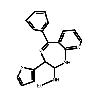 CCNC1Nc2ncccc2C(c2ccccc2)=NC1c1cccs1